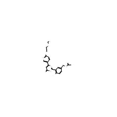 CC(C)C(=O)NCc1ccc(C(F)(F)F)c(-c2nc(-c3ccc(OCCOCC(F)(F)F)nc3)cc(=O)[nH]2)c1